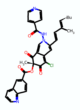 CC[C@H](C)/C=C(C)/C=C/C1=CC2=C(Cl)C(=O)[C@](C)(OC(=O)c3ccc4ncccc4c3)C(=O)C2=CN1NC(=O)c1ccncc1